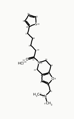 CN(C)Cc1cc2c(o1)CCN(C(=O)CCCCc1cccs1)C2.Cl